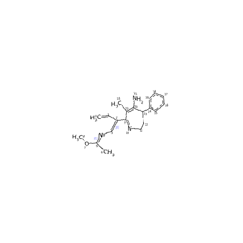 C=C/C(=C\N=C(/C)OC)C1=NCCC(c2ccccc2)C(N)=C1C